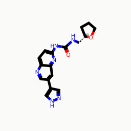 O=C(NC[C@@H]1CCCO1)Nc1ccc2ncc(-c3cn[nH]c3)cc2n1